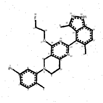 Cc1ccc(C(C)C)cc1N1CCc2nc(-c3c(C)ccc4[nH]nc(C)c34)nc(OCCF)c2C1